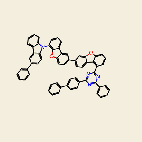 c1ccc(-c2ccc(-c3nc(-c4ccccc4)nc(-c4cccc5oc6cc(-c7ccc8oc9c(-n%10c%11ccccc%11c%11cc(-c%12ccccc%12)ccc%11%10)cccc9c8c7)ccc6c45)n3)cc2)cc1